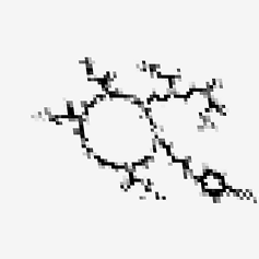 CCN(CCN(CCN1CCN(CCCOc2ccc(C(=O)O)cc2)CCN(C(=O)OC(C)(C)C)CCNCCN(C(=O)OC(C)(C)C)CCN(C(=O)OC(C)(C)C)CC1)C(=O)OC(C)(C)C)C(=O)OC(C)(C)C